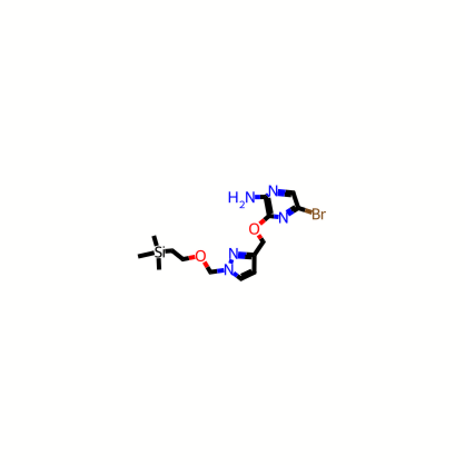 C[Si](C)(C)CCOCn1ccc(COc2nc(Br)cnc2N)n1